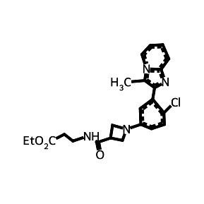 CCOC(=O)CCNC(=O)C1CN(c2ccc(Cl)c(-c3nc4ccccn4c3C)c2)C1